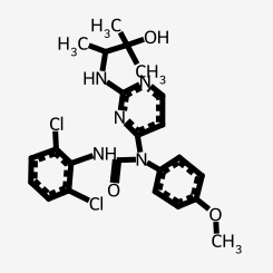 COc1ccc(N(C(=O)Nc2c(Cl)cccc2Cl)c2ccnc(NC(C)C(C)(C)O)n2)cc1